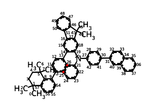 CC1(C)CCC(C)(C)c2c(-c3ccc(-c4cc5c(cc4N(c4ccccc4)c4ccc(-c6ccc7ccccc7c6)cc4)C(C)(C)c4ccccc4-5)cc3)cccc21